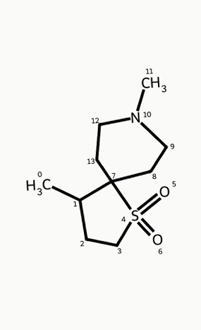 CC1CCS(=O)(=O)C12CCN(C)CC2